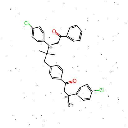 CC(C)[C@@H](CC(=O)c1ccc(CC(C)(C)[C@H](CC(=O)c2ccccc2)c2ccc(Cl)cc2)cc1)c1ccc(Cl)cc1